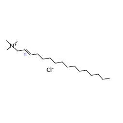 CCCCCCCCCCCCC/C=C/C[N+](C)(C)C.[Cl-]